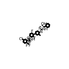 C=N/C(=N\c1ccc(-c2c(F)ccc(NS(=O)(=O)c3cc(Cl)ccc3C(F)(F)F)c2F)cc1C)N[C@@H](CO)c1ccccc1